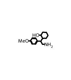 COc1ccc(C(CN)C2CCCCC2O)cc1